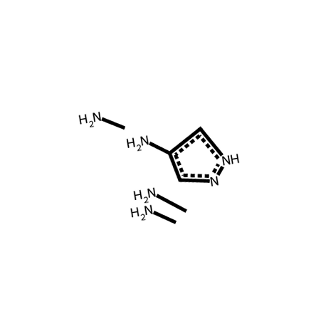 CN.CN.CN.Nc1cn[nH]c1